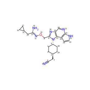 N#CC[C@H]1CC[C@H](n2c(CO/N=C(\N)CC3CC3)nc3cnc4[nH]ccc4c32)CC1